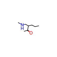 CCCC(CNC)C(C)=O